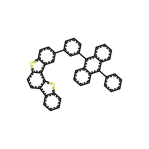 c1ccc(-c2c3ccccc3c(-c3cccc(-c4ccc5sc6ccc7c8ccccc8sc7c6c5c4)c3)c3ccccc23)cc1